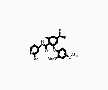 COc1cc(OC(F)(F)F)ccc1Oc1cc(C(F)F)cc(C)c1C(=O)Nc1ccnc(C(C)=O)c1